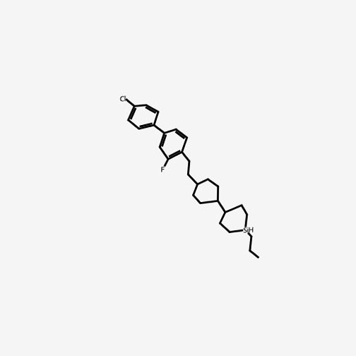 CCC[SiH]1CCC(C2CCC(CCc3ccc(-c4ccc(Cl)cc4)cc3F)CC2)CC1